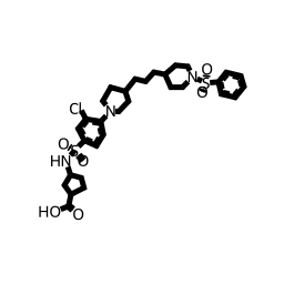 O=C(O)C1CCC(NS(=O)(=O)c2ccc(N3CCC(CCCC4CCN(S(=O)(=O)c5ccccc5)CC4)CC3)c(Cl)c2)C1